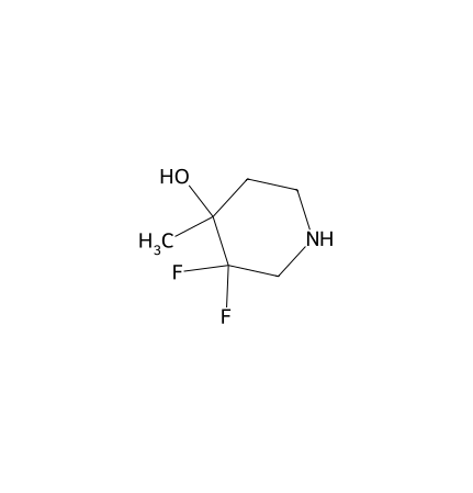 CC1(O)CCNCC1(F)F